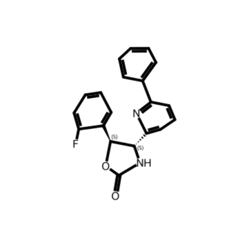 O=C1N[C@@H](c2cccc(-c3ccccc3)n2)[C@H](c2ccccc2F)O1